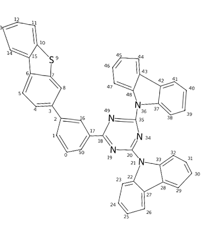 c1cc(-c2ccc3c(c2)sc2ccccc23)cc(-c2nc(-n3c4ccccc4c4ccccc43)nc(-n3c4ccccc4c4ccccc43)n2)c1